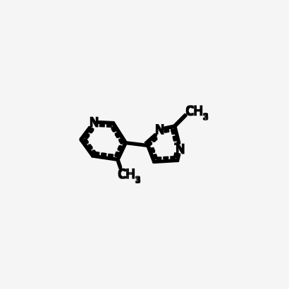 Cc1nccc(-c2cnccc2C)n1